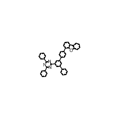 c1ccc(-c2cc(-c3ccc(-c4cccc5c4oc4ccccc45)cc3)cc(-c3nc(-c4ccccc4)nc(-c4ccccc4)n3)c2)cc1